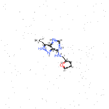 Cc1[nH]nc2c(NCc3ccco3)ncnc12